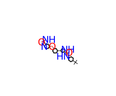 CNC(=O)c1cc(Oc2cccc(-c3c[nH]c(C(=O)Nc4ccc(C(C)(C)C)cc4)c3)c2)ccn1